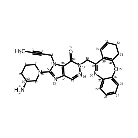 CC#CCn1c(N2CCC[C@H](N)C2)nc2cnn(CC3=Nc4ccccc4OC4=C3C=CCC4)c(=O)c21